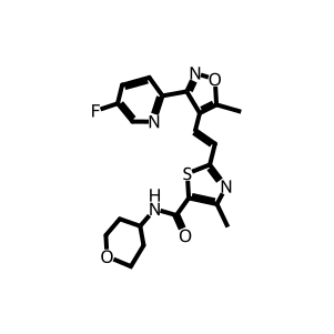 Cc1nc(/C=C/c2c(-c3ccc(F)cn3)noc2C)sc1C(=O)NC1CCOCC1